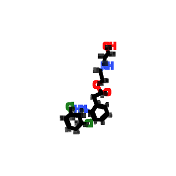 O=C(Cc1ccccc1NC1=C(Cl)C=CCC1Cl)OCCNCCO